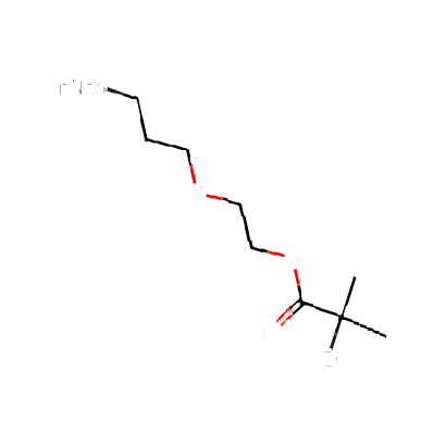 CCCCCCCCCCCCOCCOC(=O)C(C)(C)CC